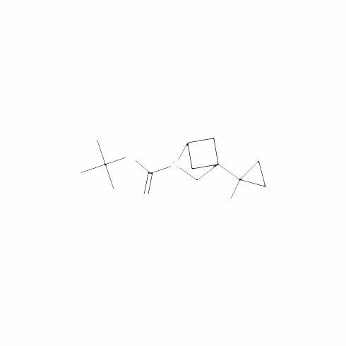 CC(C)(C)OC(=O)N1CC2(C3(O)CC3)CC1C2